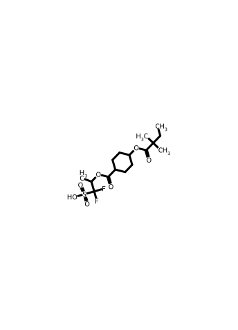 CCC(C)(C)C(=O)OC1CCC(C(=O)OC(C)C(F)(F)S(=O)(=O)O)CC1